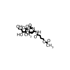 CC(=O)OCCCC(=O)Nc1ccn([C@]2(O)O[C@H](CO)[C@@H](O)[C@@]2(C)O)c(=O)n1